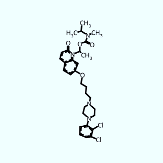 CC(C)N(C)C(=O)OC(C)n1c(=O)ccc2ccc(OCCCCN3CCN(c4cccc(Cl)c4Cl)CC3)cc21